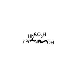 CCCC(NCCCO)NC(=O)O